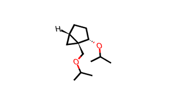 CC(C)OC[C@@]12C[C@@H]1CC[C@@H]2OC(C)C